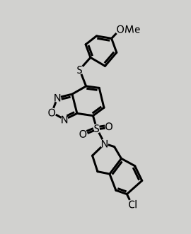 COc1ccc(Sc2ccc(S(=O)(=O)N3CCc4cc(Cl)ccc4C3)c3nonc23)cc1